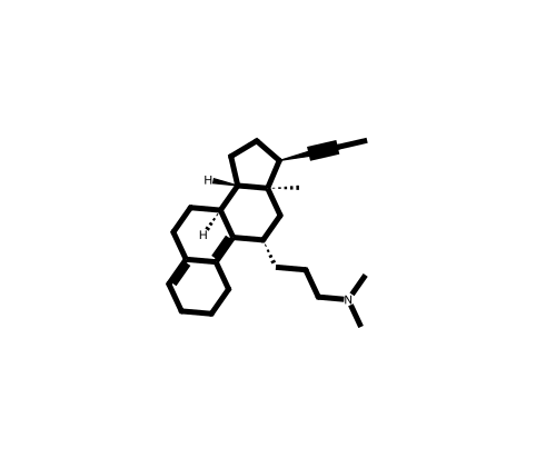 CC#C[C@@H]1CC[C@H]2[C@@H]3CCC4=CCCCC4=C3[C@@H](CCCN(C)C)C[C@]12C